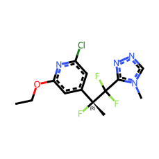 CCOc1cc([C@@](C)(F)C(F)(F)c2nncn2C)cc(Cl)n1